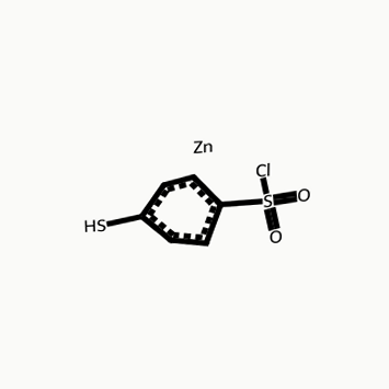 O=S(=O)(Cl)c1ccc(S)cc1.[Zn]